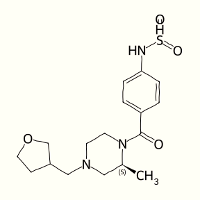 C[C@H]1CN(CC2CCOC2)CCN1C(=O)c1ccc(N[SH](=O)=O)cc1